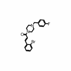 O=C(C=Cc1ccccc1Br)N1CCN(Cc2ccc(F)cc2)CC1